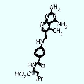 Cc1c(CNc2ccc(C(=O)N[C@@H](CC(C)C)C(=O)O)cc2)cnc2nc(N)nc(N)c12